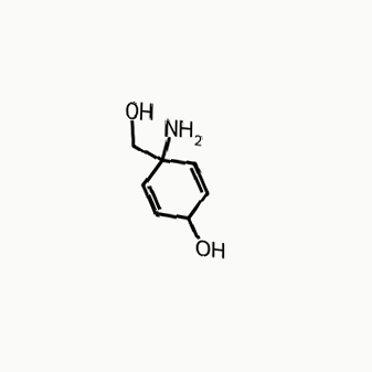 NC1(CO)C=CC(O)C=C1